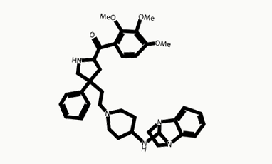 COc1ccc(C(=O)C2CC(CCN3CCC(NC4N5CCN4c4ccccc45)CC3)(c3ccccc3)CN2)c(OC)c1OC